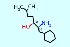 CC(C)CC[C@H](O)[C@@H](N)CC1CCCCC1